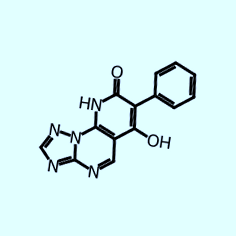 O=c1[nH]c2c(cnc3ncnn32)c(O)c1-c1ccccc1